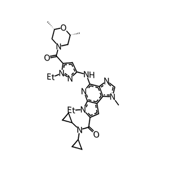 CCn1nc(Nc2nc3c(cc(C(=O)N(C4CC4)C4CC4)n3CC)c3c2ncn3C)cc1C(=O)N1C[C@@H](C)O[C@@H](C)C1